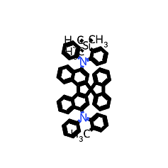 Cc1ccccc1N(c1ccccc1)c1cc2c(c3ccccc13)-c1c(cc(N(c3ccccc3)c3ccccc3[Si](C)(C)C)c3ccccc13)C21c2ccccc2-c2ccccc21